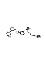 CCN(C/C=C/C#CC(C)(C)C)Cc1cccc(OCc2cccc(-c3cccnc3)c2)c1